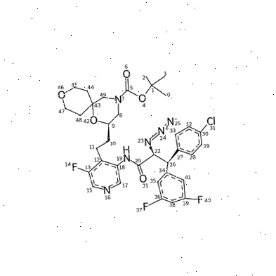 CC(C)(C)OC(=O)N1C[C@@H](CCc2c(F)cncc2NC(=O)[C@@H](N=[N+]=[N-])[C@@H](c2ccc(Cl)cc2)c2cc(F)cc(F)c2)OC2(CCOCC2)C1